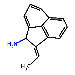 CC=C1c2cccc3cccc(c23)C1N